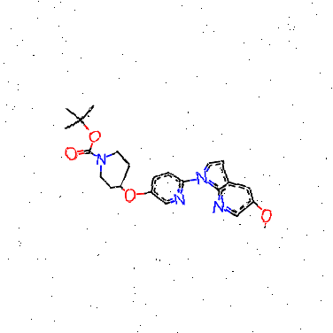 COc1cnc2c(ccn2-c2ccc(OC3CCN(C(=O)OC(C)(C)C)CC3)cn2)c1